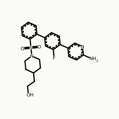 Nc1ccc(-c2ccc(-c3ccccc3S(=O)(=O)N3CCC(CCO)CC3)cc2F)cn1